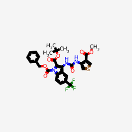 COC(=O)c1cscc1NC(=O)Nc1c(C(=O)OC(C)(C)C)n(C(=O)OCc2ccccc2)c2ccc(C(F)(F)F)cc12